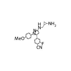 COc1ccc(-n2nc(NCC3CC3N)cc2-c2ccc(C#N)c(F)c2)cc1